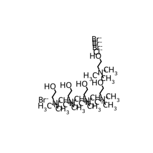 C[N+](C)(C)CCO.C[N+](C)(C)CCO.C[N+](C)(C)CCO.C[N+](C)(C)CCO.C[N+](C)(C)CCO.[Br-].[Br-].[Br-].[Br-].[Cl-]